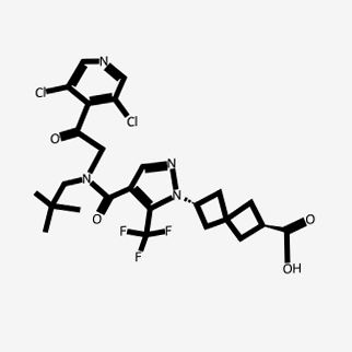 CC(C)(C)CN(CC(=O)c1c(Cl)cncc1Cl)C(=O)c1cnn([C@H]2CC3(C[C@H](C(=O)O)C3)C2)c1C(F)(F)F